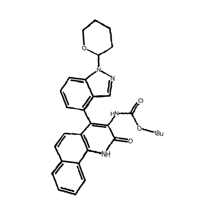 CC(C)(C)OC(=O)Nc1c(-c2cccc3c2cnn3C2CCCCO2)c2ccc3ccccc3c2[nH]c1=O